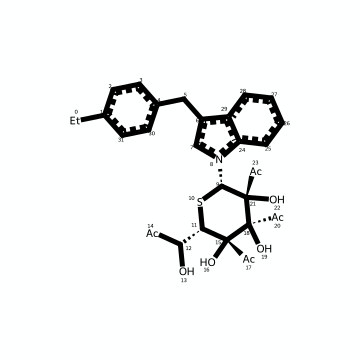 CCc1ccc(Cc2cn([C@H]3S[C@@H](C(O)C(C)=O)[C@](O)(C(C)=O)[C@@](O)(C(C)=O)[C@]3(O)C(C)=O)c3ccccc23)cc1